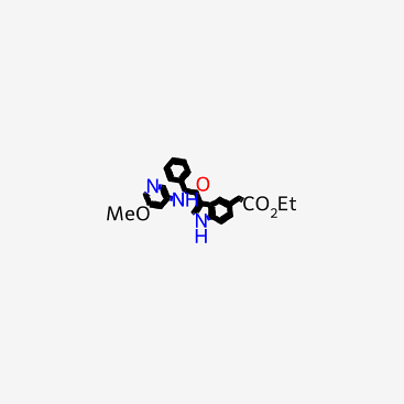 CCOC(=O)Cc1ccc2[nH]cc(C(=O)C(Nc3cncc(OC)c3)c3ccccc3)c2c1